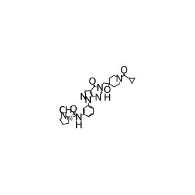 CN1CCC[C@H]1C(=O)Nc1cccc(-n2ncc3c(=O)n(CC4(O)CCN(C(=O)C5CC5)CC4)cnc32)c1